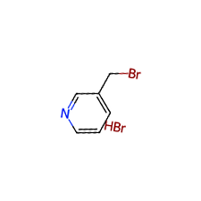 Br.BrCc1cccnc1